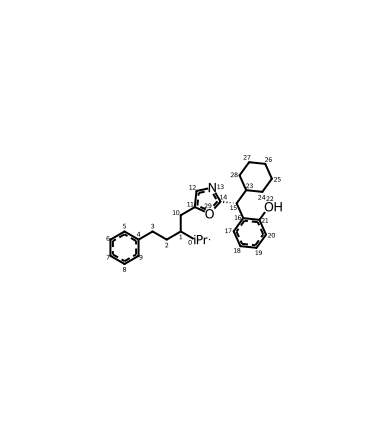 C[C](C)C(CCc1ccccc1)Cc1cnc([C@@H](c2ccccc2O)C2CCCCC2)o1